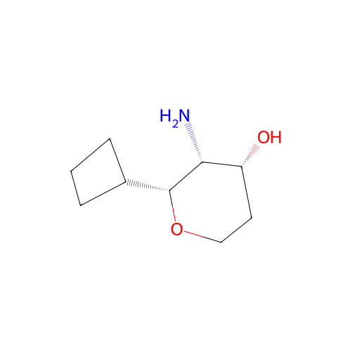 N[C@@H]1[C@H](O)CCO[C@@H]1C1CCC1